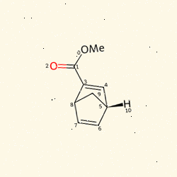 COC(=O)C1=C[C@@H]2C=CC1C2